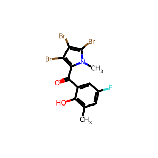 Cc1cc(F)cc(C(=O)c2c(Br)c(Br)c(Br)n2C)c1O